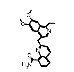 CCc1ncc(Cc2ccc3cccc(C(N)=O)c3n2)c2cc(OC)c(OC)cc12